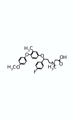 COc1ccc(Oc2ccc(OC(CCN(C)CC(=O)O)c3ccc(F)cc3)cc2C)cc1